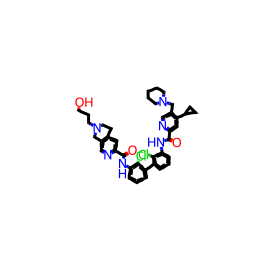 O=C(Nc1cccc(-c2cccc(NC(=O)c3cc(C4CC4)c(CN4CCCCC4)cn3)c2Cl)c1Cl)c1cc2c(cn1)CN(CCCO)CC2